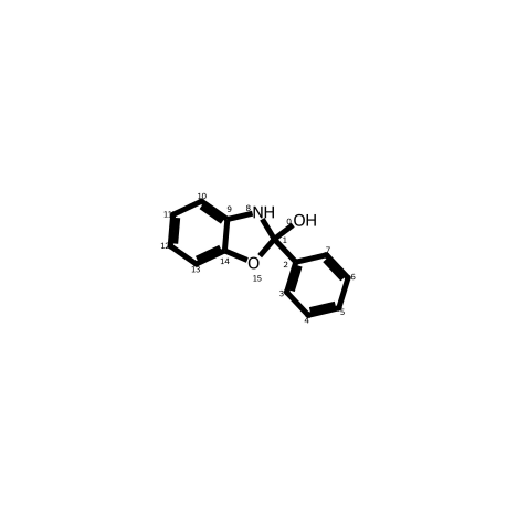 OC1(c2ccccc2)Nc2ccccc2O1